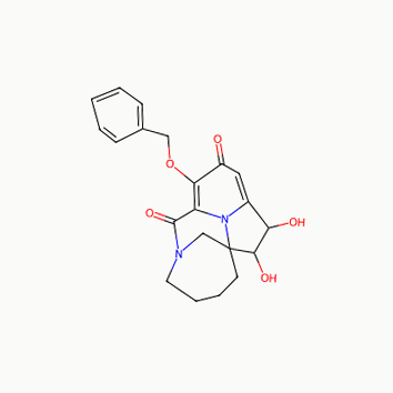 O=C1c2c(OCc3ccccc3)c(=O)cc3n2C2(CCCCN1C2)C(O)C3O